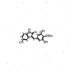 COc1c(C(C)C)cc(/C=C2\C(=O)Nc3ccc(Cl)cc32)cc1C(C)C